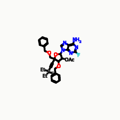 CC[Si](C#CC1(COCc2ccccc2)OC(n2cnc3c(N)nc(F)nc32)C(OC(C)=O)C1OCc1ccccc1)(CC)CC